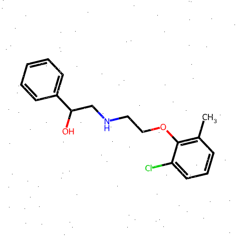 Cc1cccc(Cl)c1OCCNCC(O)c1ccccc1